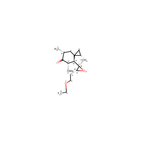 CO[C@@H]1C(=O)[C@H](C)CC2(CC2)[C@H]1[C@@]1(C)O[C@@H]1CCOCC(F)(F)F